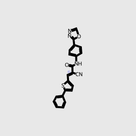 N#C/C(=C\c1ccc(-c2ccccc2)s1)C(=O)Nc1ccc(-c2nnco2)cc1